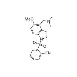 COc1ccc2c(ccn2S(=O)(=O)c2ccccc2C#N)c1CN(C)C